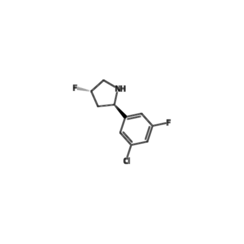 Fc1cc(Cl)cc([C@H]2C[C@H](F)CN2)c1